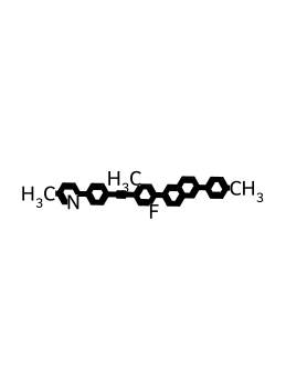 Cc1ccc(-c2ccc3cc(-c4cc(C)c(C#Cc5ccc(-c6ccc(C)cn6)cc5)cc4F)ccc3c2)cc1